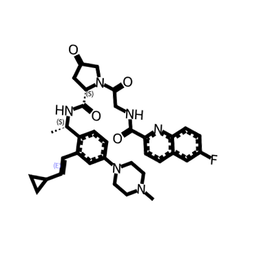 C[C@H](NC(=O)[C@@H]1CC(=O)CN1C(=O)CNC(=O)c1ccc2cc(F)ccc2n1)c1ccc(N2CCN(C)CC2)cc1/C=C/C1CC1